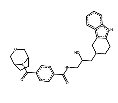 O=C(NCC(O)CN1CCc2[nH]c3ccccc3c2C1)c1ccc(C(=O)N2C3CCC2COC3)cc1